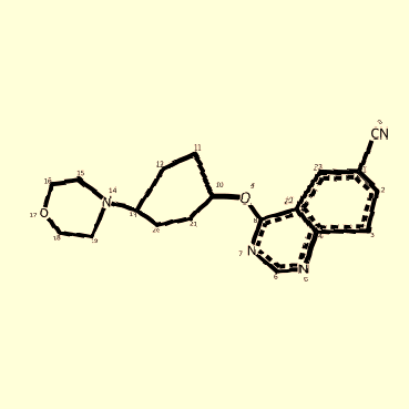 N#Cc1ccc2ncnc(OC3CCC(N4CCOCC4)CC3)c2c1